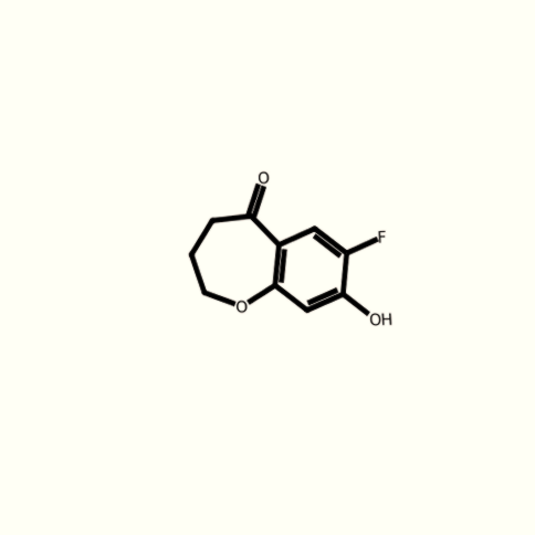 O=C1CCCOc2cc(O)c(F)cc21